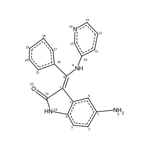 Nc1ccc2c(c1)C(=C(Nc1cccnc1)c1ccccc1)C(=O)N2